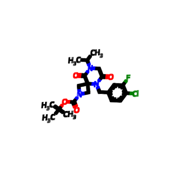 CC(C)N1CC(=O)N(Cc2ccc(Cl)c(F)c2)C2(CN(C(=O)OC(C)(C)C)C2)C1=O